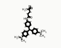 CN(C)c1ccc(C(c2ccc(NC(=O)CCC3(C)N=N3)cc2)c2ccc(N(C)C)cc2)cc1